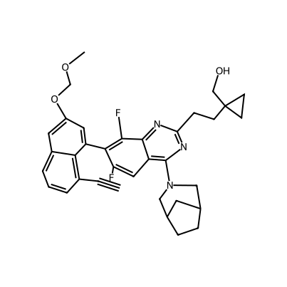 C#Cc1cccc2cc(OCOC)cc(-c3c(F)cc4c(N5CC6CCC(C6)C5)nc(CCC5(CO)CC5)nc4c3F)c12